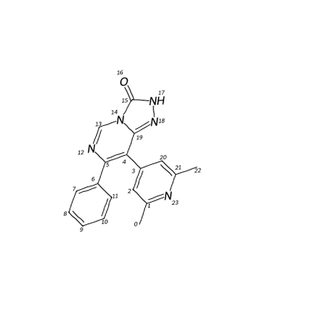 Cc1cc(-c2c(-c3ccccc3)ncn3c(=O)[nH]nc23)cc(C)n1